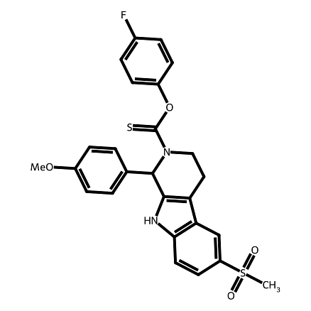 COc1ccc(C2c3[nH]c4ccc(S(C)(=O)=O)cc4c3CCN2C(=S)Oc2ccc(F)cc2)cc1